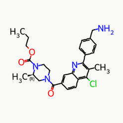 CCCOC(=O)N1CCN(C(=O)c2ccc3c(Cl)c(C)c(-c4ccc(CN)cc4)nc3c2)C[C@H]1C